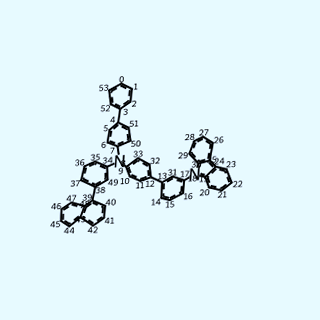 c1ccc(-c2ccc(N(c3ccc(-c4cccc(-n5c6ccccc6c6ccccc65)c4)cc3)c3cccc(-c4cccc5ccccc45)c3)cc2)cc1